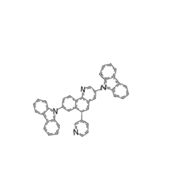 c1cncc(-c2cc3cc(-n4c5ccccc5c5ccccc54)cnc3c3ccc(-n4c5ccccc5c5ccccc54)cc23)c1